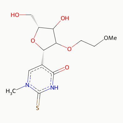 COCCOC1C(O)[C@@H](CO)O[C@H]1c1cn(C)c(=S)[nH]c1=O